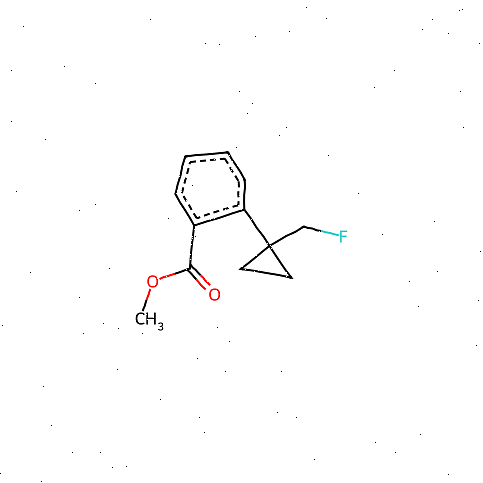 COC(=O)c1ccccc1C1(CF)CC1